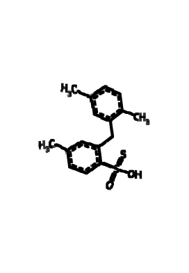 Cc1ccc(C)c(Cc2cc(C)ccc2S(=O)(O)=S)c1